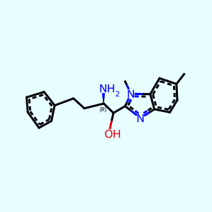 Cc1ccc2nc(C(O)[C@H](N)CCc3ccccc3)n(C)c2c1